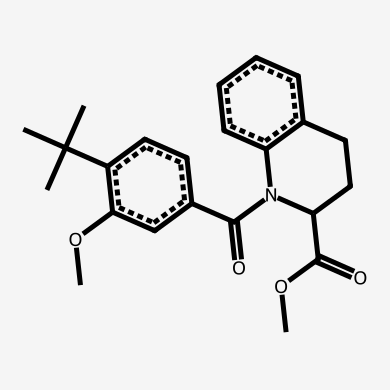 COC(=O)C1CCc2ccccc2N1C(=O)c1ccc(C(C)(C)C)c(OC)c1